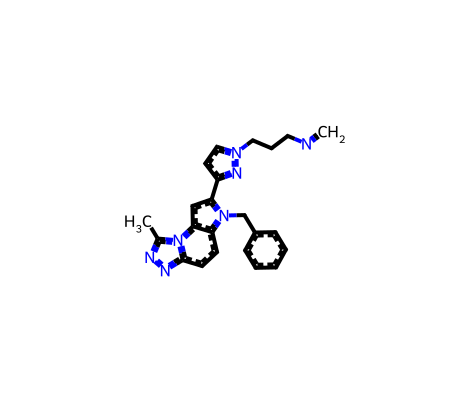 C=NCCCn1ccc(-c2cc3c(ccc4nnc(C)n43)n2Cc2ccccc2)n1